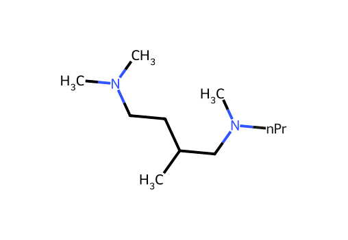 CCCN(C)CC(C)CCN(C)C